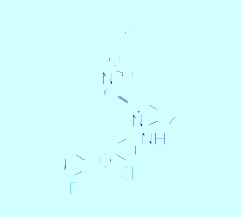 COCCOC(=O)N1CCC[C@@H]1C#Cc1cc2sccc2c(Nc2ccc(OCc3cccc(F)c3)c(Cl)c2)n1